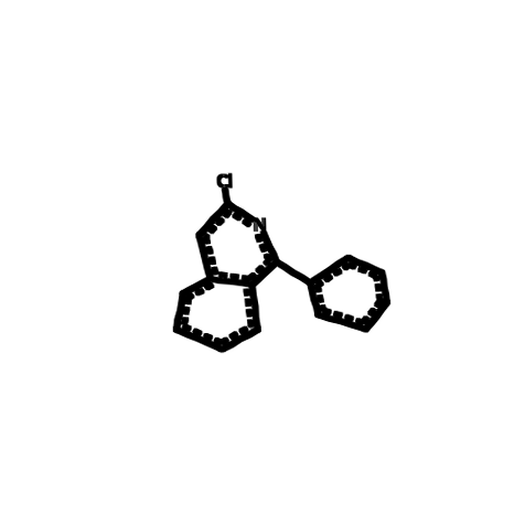 Clc1cc2ccccc2c(-c2ccccc2)n1